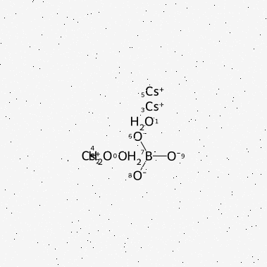 O.O.O.[Cs+].[Cs+].[Cs+].[O-]B([O-])[O-]